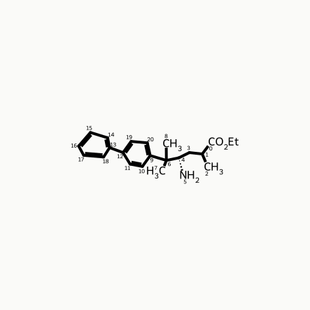 CCOC(=O)C(C)C[C@H](N)C(C)(C)c1ccc(-c2ccccc2)cc1